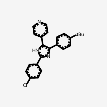 CC(C)(C)c1ccc(-c2nc(-c3ccc(Cl)cc3)[nH]c2-c2ccncc2)cc1